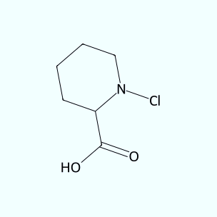 O=C(O)C1CCCCN1Cl